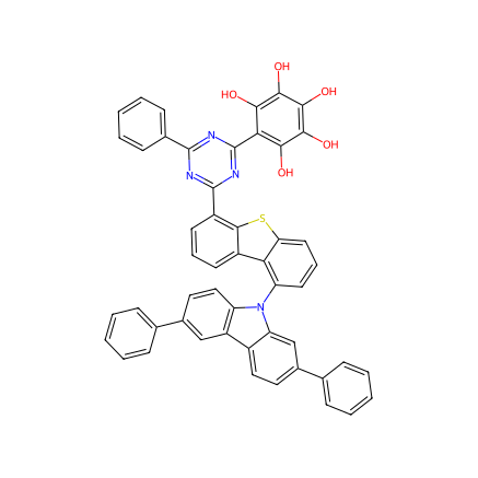 Oc1c(O)c(O)c(-c2nc(-c3ccccc3)nc(-c3cccc4c3sc3cccc(-n5c6ccc(-c7ccccc7)cc6c6ccc(-c7ccccc7)cc65)c34)n2)c(O)c1O